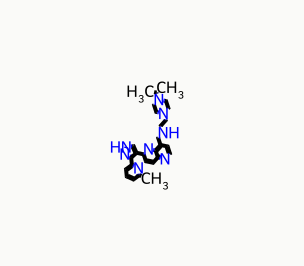 Cc1cccc(-c2n[nH]cc2-c2ccc3nccc(CNCCN4CCN(C(C)C)CC4)c3n2)n1